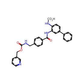 O=C(O)Nc1ccc(-c2ccccc2)cc1NC(=O)c1ccc(CNC(=O)OCc2cccnc2)cc1